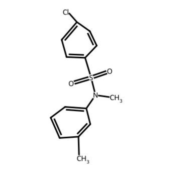 Cc1cccc(N(C)S(=O)(=O)c2ccc(Cl)cc2)c1